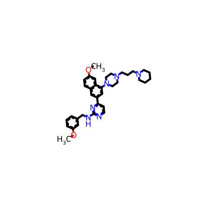 COc1cccc(CNc2nccc(-c3cc(N4CCN(CCCN5CCCCC5)CC4)c4cc(OC)ccc4c3)n2)c1